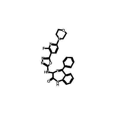 O=C1Nc2ccccc2C(c2ccccc2)=NC1Nc1nnc(-c2ccc(N3CCOCC3)nc2F)o1